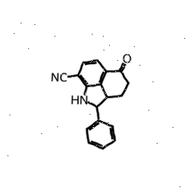 N#Cc1ccc2c3c1NC(c1ccccc1)C3CCC2=O